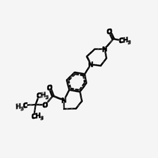 CC(=O)N1CCN(c2ccc3c(c2)CCCN3C(=O)OC(C)(C)C)CC1